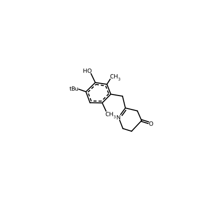 Cc1cc(C(C)(C)C)c(O)c(C)c1CC1=NCCC(=O)C1